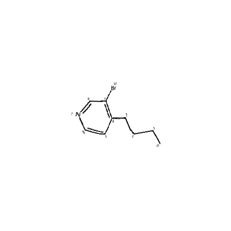 CCCCc1ccncc1Br